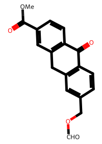 COC(=O)c1ccc2c(c1)Cc1cc(COC=O)ccc1C2=O